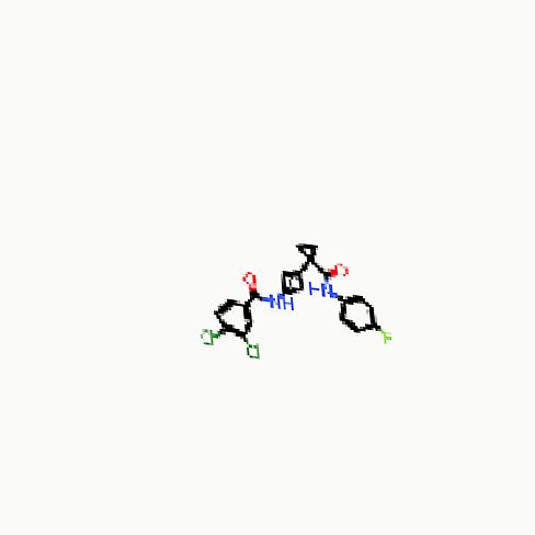 O=C(NC12CC(C3(C(=O)Nc4ccc(F)cc4)CC3)(C1)C2)c1ccc(Cl)c(Cl)c1